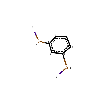 ISc1cccc(SI)c1